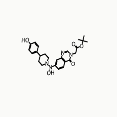 CC(C)(C)OC(=O)Cn1cnc2cc(N(O)N3CCC(c4ccc(O)cc4)CC3)ccc2c1=O